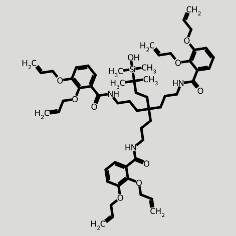 C=CCOc1cccc(C(=O)NCCCC(CCCNC(=O)c2cccc(OCC=C)c2OCC=C)(CCCNC(=O)c2cccc(OCC=C)c2OCC=C)CCC(C)(C)[Si](C)(C)O)c1OCC=C